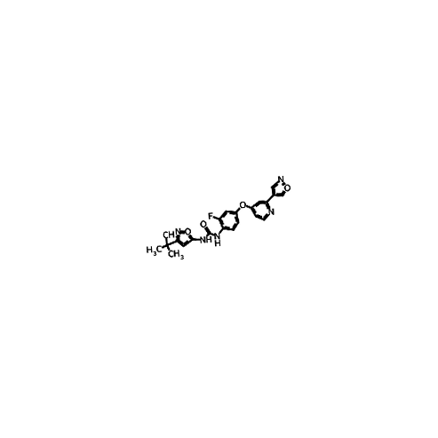 CC(C)(C)c1cc(NC(=O)Nc2ccc(Oc3ccnc(-c4cnoc4)c3)cc2F)on1